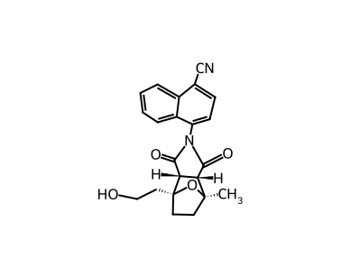 C[C@]12CC[C@](CCO)(O1)[C@@H]1C(=O)N(c3ccc(C#N)c4ccccc34)C(=O)[C@@H]12